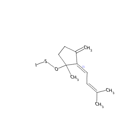 C=C1CCC(C)(OSI)/C1=C\C=C(C)C